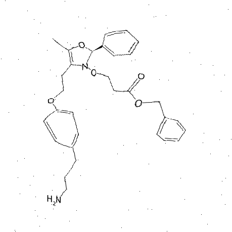 CC1=C(CCOc2ccc(CCCN)cc2)N(OCCC(=O)OCc2ccccc2)[C@H](c2ccccc2)O1